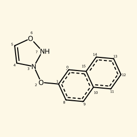 [c]1c(ON2C=CON2)ccc2ccccc12